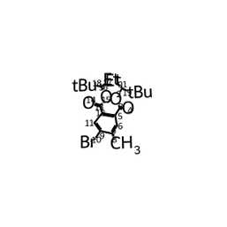 CCC(OC(=O)c1cc(C)c(Br)cc1C(=O)OC(CC)C(C)(C)C)C(C)(C)C